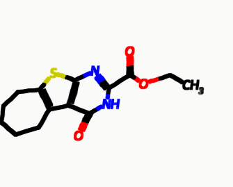 CCOC(=O)c1nc2sc3c(c2c(=O)[nH]1)CCCCC3